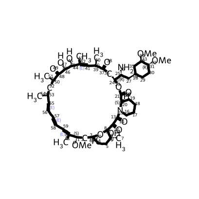 CO[C@H]1C[C@@H]2CC[C@@H](C)[C@@](O)(O2)C(=O)C(=O)N2CCCC[C@H]2C(=O)O[C@H]([C@H](N)C[C@@H]2CC[C@@H](OC)[C@H](OC)C2)CC(=O)[C@H](C)/C=C(\C)[C@@H](O)[C@@H](O)C(=O)[C@H](C)C[C@H](C)/C=C/C=C/C=C/1C